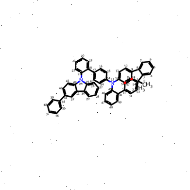 CC1(C)c2ccccc2-c2ccc(N(c3ccc(-c4ccccc4-n4c5ccccc5c5cc(-c6ccccc6)ccc54)cc3)c3ccccc3-c3ccccc3)cc21